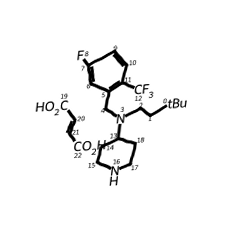 CC(C)(C)CCN(Cc1cc(F)ccc1C(F)(F)F)C1CCNCC1.O=C(O)C=CC(=O)O